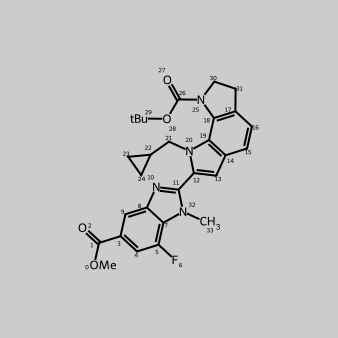 COC(=O)c1cc(F)c2c(c1)nc(-c1cc3ccc4c(c3n1CC1CC1)N(C(=O)OC(C)(C)C)CC4)n2C